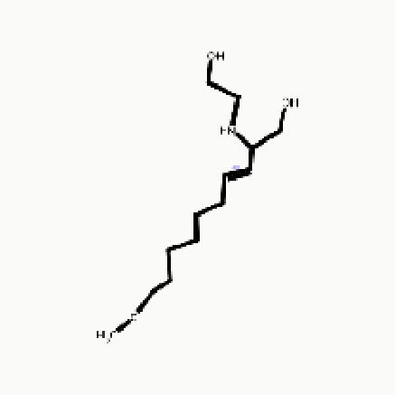 CCCCCCCC/C=C/C(CO)NCCO